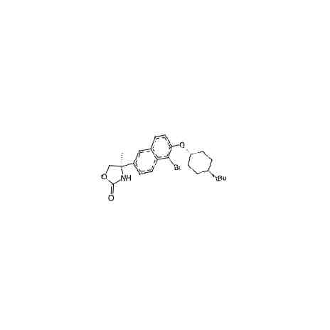 CC(C)(C)[C@H]1CC[C@H](Oc2ccc3cc([C@]4(C)COC(=O)N4)ccc3c2Br)CC1